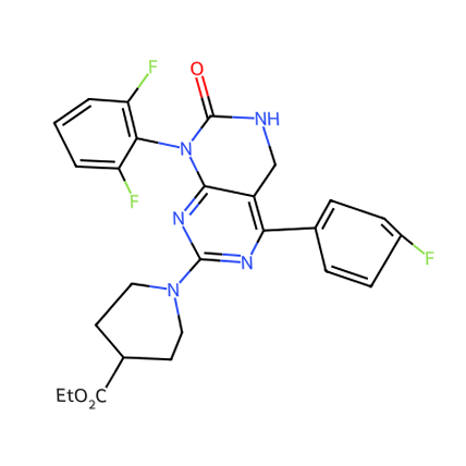 CCOC(=O)C1CCN(c2nc(-c3ccc(F)cc3)c3c(n2)N(c2c(F)cccc2F)C(=O)NC3)CC1